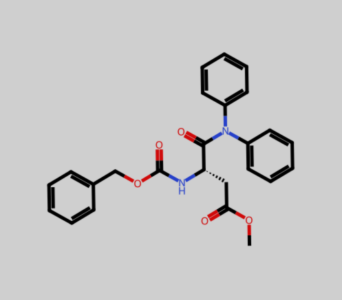 COC(=O)C[C@H](NC(=O)OCc1ccccc1)C(=O)N(c1ccccc1)c1ccccc1